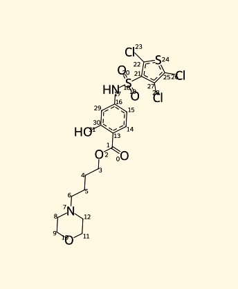 O=C(OCCCCN1CCOCC1)c1ccc(NS(=O)(=O)c2c(Cl)sc(Cl)c2Cl)cc1O